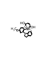 COc1ccc(N)c(N2CCc3ccccc32)c1.O=C(O)/C=C\C(=O)O